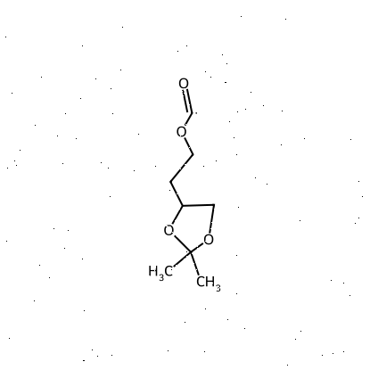 CC1(C)OCC(CCO[C]=O)O1